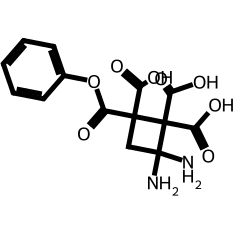 NC1(N)CC(C(=O)O)(C(=O)Oc2ccccc2)C1(C(=O)O)C(=O)O